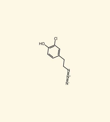 [N-]=[N+]=NCCc1ccc(O)c(Cl)c1